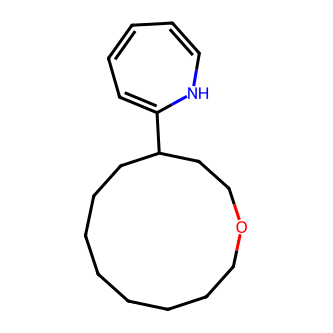 C1=CC=C(C2CCCCCCCCOCC2)NC=C1